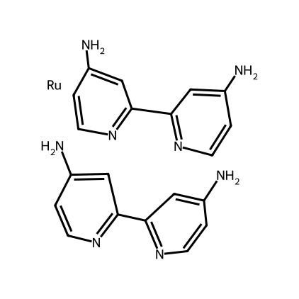 Nc1ccnc(-c2cc(N)ccn2)c1.Nc1ccnc(-c2cc(N)ccn2)c1.[Ru]